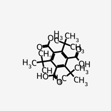 CC(C)(C)c1c(C(=O)O)c(C(C)(C)C)c(C(=O)O)c(C(C)(C)C)c1C(=O)O